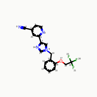 N#Cc1ccnc(-c2cn(Cc3ccccc3OCC(F)(F)F)cn2)c1